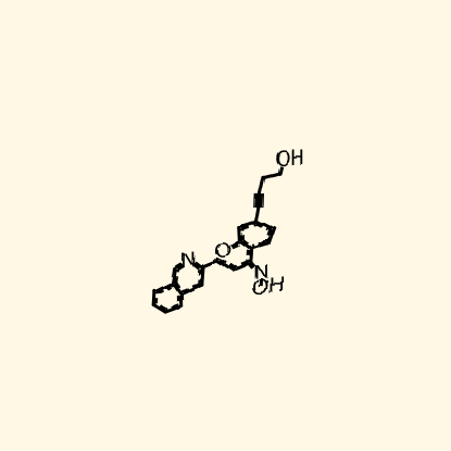 OCCC#Cc1ccc2c(=NO)cc(-c3cc4ccccc4cn3)oc2c1